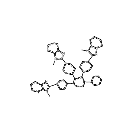 Cn1c(-c2ccc(-c3ccc(-c4ccccc4)c(-c4ccc(-c5nc6cccnc6n5C)cc4)c3-c3ccc(-c4nc5cccnc5n4C)cc3)cc2)nc2cccnc21